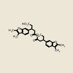 Cc1oc2cc(C(CC(=O)O)CC(=O)OC(=O)CC(CC(=O)O)c3ccc4c(C)c(C)oc4c3)ccc2c1C